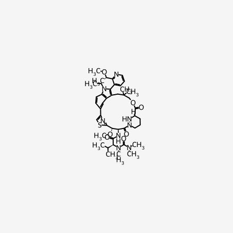 CCn1c(-c2cccnc2[C@H](C)OC)c2c3cc(ccc31)-c1csc(n1)[C@@H](OC)[C@H](NC(=O)[C@H](C(C)C)N(C)C(=O)N(C)C)C(=O)N1CCC[C@H](N1)C(=O)OCC(C)(C)C2